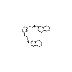 C(Cc1cccc(CC=Nc2ccc3ccccc3c2)n1)=Nc1ccc2ccccc2c1